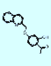 CC(=O)c1ccc(OCc2ccc3ccccc3n2)cc1O